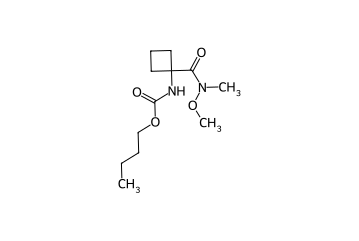 CCCCOC(=O)NC1(C(=O)N(C)OC)CCC1